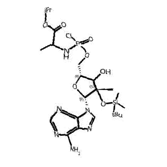 CC(C)OC(=O)C(C)NP(=O)(Cl)OC[C@H]1O[C@@H](n2cnc3c(N)ncnc32)[C@@](C)(O[Si](C)(C)C(C)(C)C)C1O